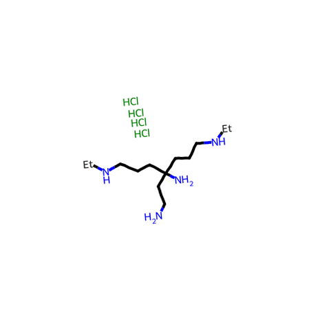 CCNCCCC(N)(CCN)CCCNCC.Cl.Cl.Cl.Cl